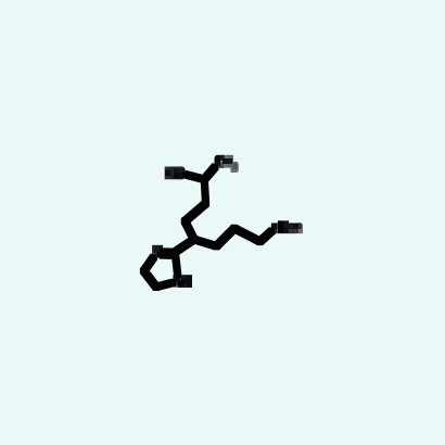 CCCCCCCCCCCCC(CCC(C)O)C1=NCCN1